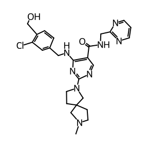 CN1CCC2(CCN(c3ncc(C(=O)NCc4ncccn4)c(NCc4ccc(CO)c(Cl)c4)n3)C2)C1